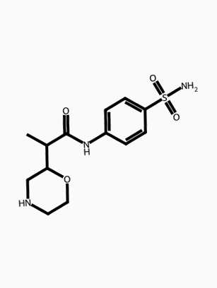 CC(C(=O)Nc1ccc(S(N)(=O)=O)cc1)C1CNCCO1